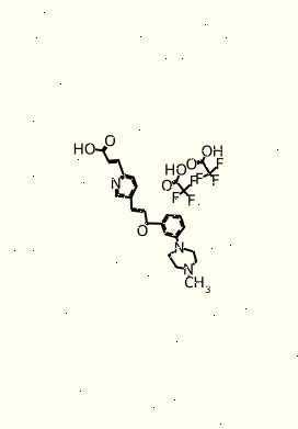 CN1CCN(c2cccc(C(=O)/C=C/c3ccc(/C=C/C(=O)O)nc3)c2)CC1.O=C(O)C(F)(F)F.O=C(O)C(F)(F)F